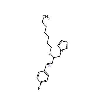 CCCCCCCSC(/C=C/c1ccc(F)cc1)Cn1ccnc1